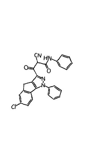 N#CC(C(=O)Nc1ccccc1)C(=O)c1nn(-c2ccccc2)c2c1Cc1cc(Cl)ccc1-2